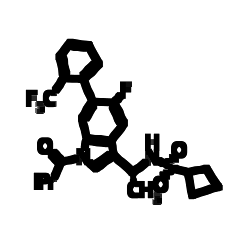 CC(C)C(=O)n1cc([C@@H](C)NS(=O)(=O)C2CCC2)c2cc(F)c(-c3ccccc3C(F)(F)F)cc21